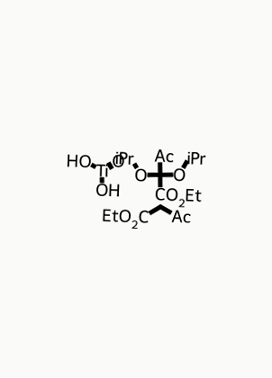 CCOC(=O)C(OC(C)C)(OC(C)C)C(C)=O.CCOC(=O)CC(C)=O.[O]=[Ti]([OH])[OH]